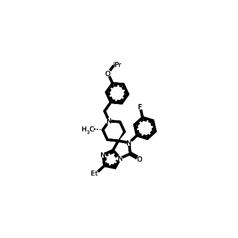 CCc1cn2c(n1)[C@@]1(CCN(Cc3cccc(OC(C)C)c3)[C@@H](C)C1)N(c1cccc(F)c1)C2=O